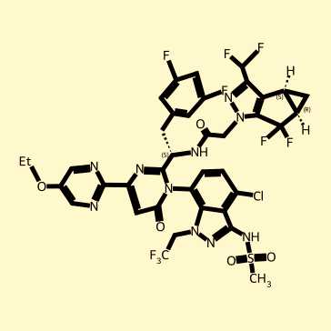 CCOc1cnc(-c2cc(=O)n(-c3ccc(Cl)c4c(NS(C)(=O)=O)nn(CC(F)(F)F)c34)c([C@H](Cc3cc(F)cc(F)c3)NC(=O)Cn3nc(C(F)F)c4c3C(F)(F)[C@@H]3C[C@H]43)n2)nc1